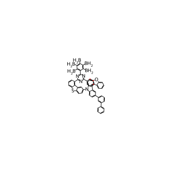 Bc1c(B)c(B)c(-c2nc(-c3ccc4c(c3)oc3ccccc34)nc(-c3cccc4sc5ccc(-n6c7ccccc7c7cc(-c8cccc(-c9ccccc9)c8)ccc76)cc5c34)n2)c(B)c1B